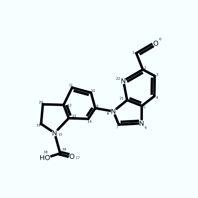 O=Cc1ccc2ncn(-c3ccc4c(c3)N(C(=O)O)CC4)c2n1